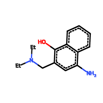 CCN(CC)Cc1cc(N)c2ccccc2c1O